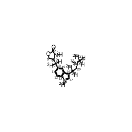 [2H]N1C(=O)OC[C@@H]1C([2H])([2H])c1ccc2c(c1)c(C([2H])([2H])CN(C)C([2H])([2H])[2H])cn2[2H]